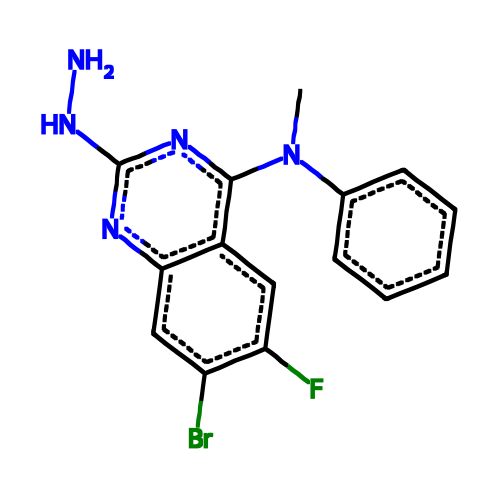 CN(c1ccccc1)c1nc(NN)nc2cc(Br)c(F)cc12